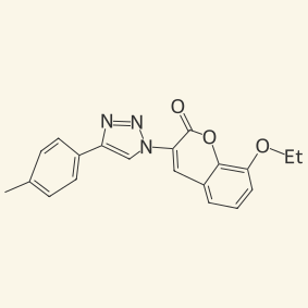 CCOc1cccc2cc(-n3cc(-c4ccc(C)cc4)nn3)c(=O)oc12